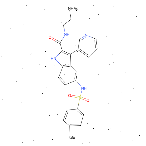 CC(=O)NCCNC(=O)c1[nH]c2ccc(NS(=O)(=O)c3ccc(C(C)(C)C)cc3)cc2c1-c1cccnc1